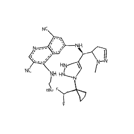 CN1N=CCC1[C@H](Nc1cc(C#N)c2ncc(C#N)c(NCC(C)(C)C)c2c1)C1=CN(C2(C(F)F)CC2)NN1